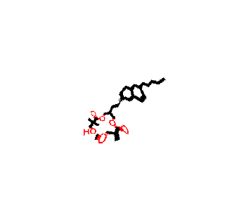 C=C(COC)C(=O)OCC(CC[C@H]1CCC2CC(CCCCC)CCC2C1)COC(=O)C(C)(C)CO